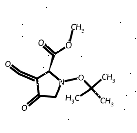 COC(=O)[C@@H]1C(=C=O)C(=O)CN1OC(C)(C)C